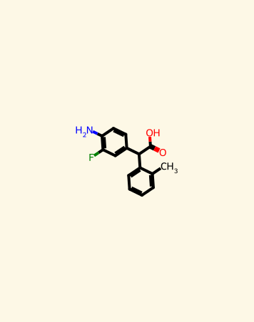 Cc1ccccc1C(C(=O)O)c1ccc(N)c(F)c1